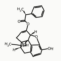 C[C@H](C(=O)OC1=CC[C@@]2(O)[C@H]3Cc4ccc(O)c5c4[C@@]2(CCN3C)[C@H]1O5)c1ccccc1